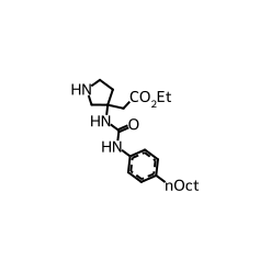 CCCCCCCCc1ccc(NC(=O)NC2(CC(=O)OCC)CCNC2)cc1